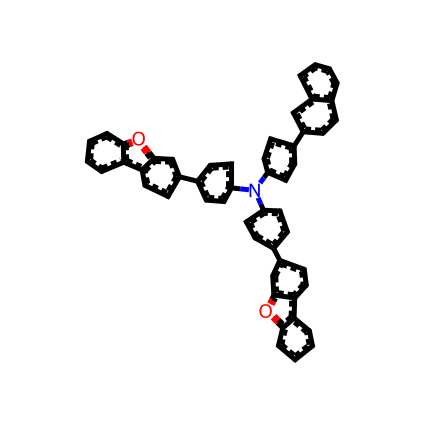 c1ccc2cc(-c3ccc(N(c4ccc(-c5ccc6c(c5)oc5ccccc56)cc4)c4ccc(-c5ccc6c(c5)oc5ccccc56)cc4)cc3)ccc2c1